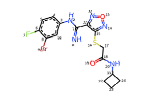 N=C(Nc1ccc(F)c(Br)c1)c1nonc1SCC(=O)NC1CCC1